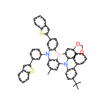 Cc1cc2c3c(c1)N(c1ccc(C(C)(C)C)cc1-c1ccccc1)c1cc4c(cc1B3c1ccc(-c3cc5ccccc5s3)cc1N2c1cccc(-c2cc3ccccc3s2)c1)OCO4